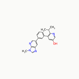 CC(C)c1ncc(O)cc1-c1cccc(-c2cnc3c(c2)ncn3C)c1